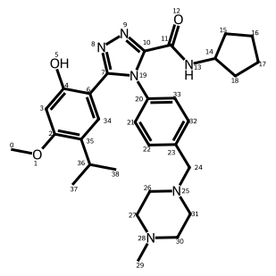 COc1cc(O)c(-c2nnc(C(=O)NC3CCCC3)n2-c2ccc(CN3CCN(C)CC3)cc2)cc1C(C)C